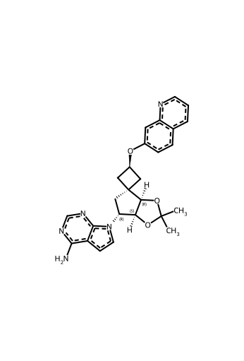 CC1(C)O[C@H]2[C@H](n3ccc4c(N)ncnc43)C[C@]3(C[C@H](Oc4ccc5cccnc5c4)C3)[C@H]2O1